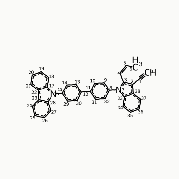 C#Cc1c(/C=C\C)n(-c2ccc(-c3ccc(-n4c5ccccc5c5ccccc54)cc3)cc2)c2ccccc12